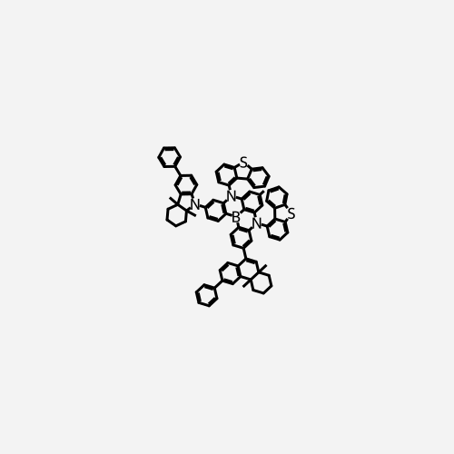 Cc1cc2c3c(c1)N(c1cccc4sc5ccccc5c14)c1cc(N4c5ccc(-c6ccccc6)cc5C5(C)CCCCC45C)ccc1B3c1ccc(C3=CC4(C)CCCCC4(C)c4cc(-c5ccccc5)ccc43)cc1N2c1cccc2sc3ccccc3c12